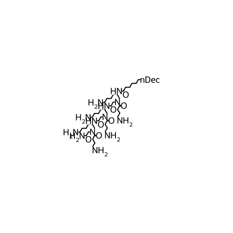 CCCCCCCCCCCCCCCC(=O)N[C@@H](CCCCN)CN(CC(=O)N[C@@H](CCCCN)CN(CC(=O)N[C@@H](CCCCN)CN(CC(N)=O)C(=O)CCCN)C(=O)CCCN)C(=O)CCCN